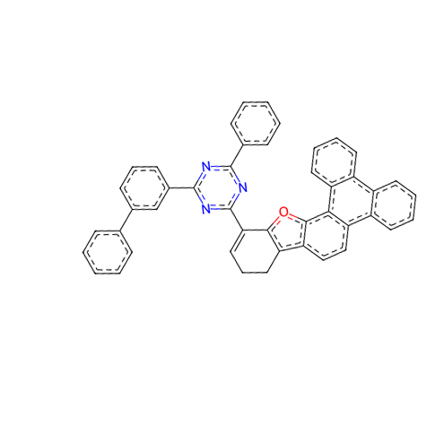 C1=C(c2nc(-c3ccccc3)nc(-c3cccc(-c4ccccc4)c3)n2)c2oc3c(ccc4c5ccccc5c5ccccc5c43)c2CC1